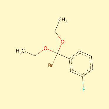 CCOC(Br)(OCC)c1cccc(F)c1